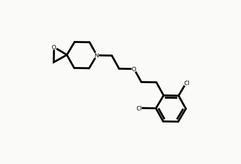 Clc1cccc(Cl)c1CCOCCN1CCC2(CC1)CO2